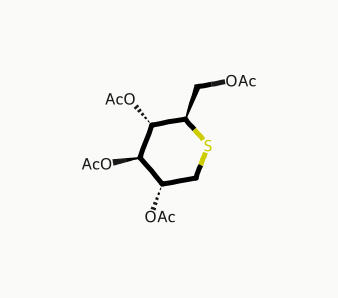 CC(=O)OC[C@H]1SC[C@H](OC(C)=O)[C@@H](OC(C)=O)[C@@H]1OC(C)=O